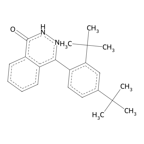 CC(C)(C)c1ccc(-c2n[nH]c(=O)c3ccccc23)c(C(C)(C)C)c1